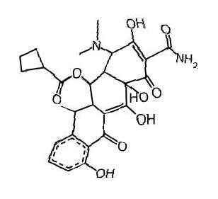 CC1c2cccc(O)c2C(=O)C2=C(O)C3(O)C(=O)C(C(N)=O)=C(O)C(N(C)C)C3C(OC(=O)C3CCC3)C21